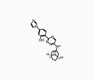 CN(c1cnc(-c2ccc(-n3ccnc3)cc2O)nn1)C1C[C@H]2CC[C@@H](C1)N2